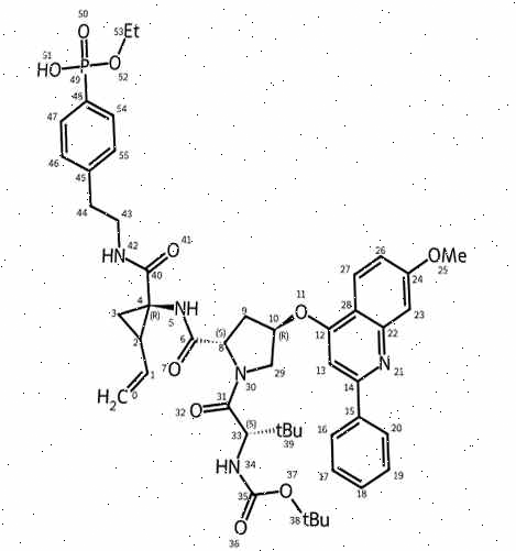 C=CC1C[C@]1(NC(=O)[C@@H]1C[C@@H](Oc2cc(-c3ccccc3)nc3cc(OC)ccc23)CN1C(=O)[C@@H](NC(=O)OC(C)(C)C)C(C)(C)C)C(=O)NCCc1ccc(P(=O)(O)OCC)cc1